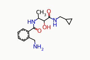 CC(NC(=O)c1ccccc1CN)C(O)C(=O)NCC1CC1